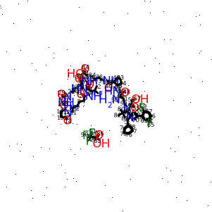 CC(C)[C@H](NC(=O)CCCCCN1C(=O)C=CC1=O)C(=O)N[C@@H](CCCNC(N)=O)C(=O)N[C@@H](CCCCNC(=O)[C@@H]1CCC[C@@H]1NC(=O)[C@@H](N)CCN(C(=O)CO)[C@@H](c1cc(-c2cc(F)ccc2F)cn1Cc1ccccc1)C(C)(C)C)C(=O)O.O=C(O)C(F)(F)F